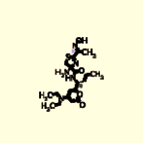 CCC[C@@H](NC(=O)[C@]1(N)CSC(/C(C)=N/O)=N1)c1cc(N(CC)CC)cc(=O)o1